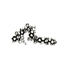 Cn1c(=O)n(-c2ccc(C[C@H](NC(=O)c3cc(F)c(NS(=O)(=O)c4ccc(-c5cnc(C6CCOCC6)nc5)cc4)cc3F)C(=O)O)nc2)c(=O)c2ccccc21